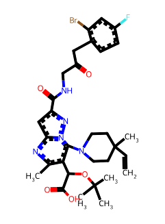 C=CC1(C)CCN(c2c(C(OC(C)(C)C)C(=O)O)c(C)nc3cc(C(=O)NCC(=O)Cc4ccc(F)cc4Br)nn23)CC1